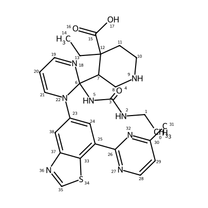 CCNC(=O)NC1(C2CNCCC2(CC)C(=O)O)N=CC=CN1c1cc(-c2nccc(C)n2)c2scnc2c1